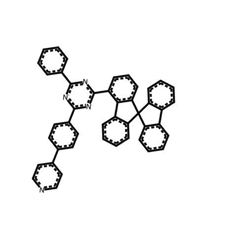 c1ccc(-c2nc(-c3ccc(-c4ccncc4)cc3)nc(-c3cccc4c3-c3ccccc3C43c4ccccc4-c4ccccc43)n2)cc1